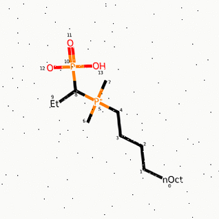 CCCCCCCCCCCC[P+](C)(C)C(CC)P(=O)([O-])O